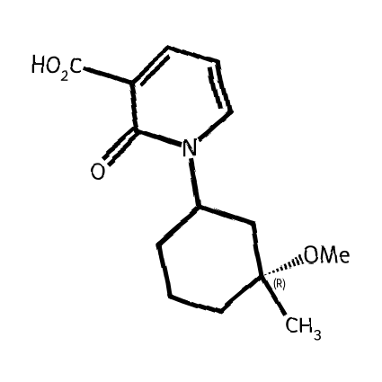 CO[C@]1(C)CCCC(n2cccc(C(=O)O)c2=O)C1